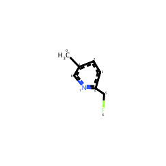 Cc1ccc(CF)nc1